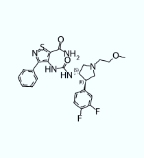 COCCN1C[C@@H](NC(=O)Nc2c(-c3ccccc3)nsc2C(N)=O)[C@H](c2ccc(F)c(F)c2)C1